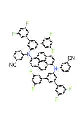 N#Cc1cccc(N(c2cc(-c3cc(F)cc(F)c3)cc(-c3cc(F)cc(F)c3)c2)c2ccc3ccc4c(N(c5cccc(C#N)c5)c5cc(-c6cc(F)cc(F)c6)cc(-c6cc(F)cc(F)c6)c5)ccc5ccc2c3c54)c1